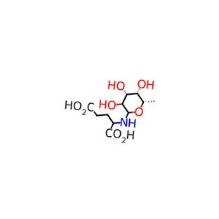 C[C@@H]1OC(NC(CCC(=O)O)C(=O)O)[C@@H](O)[C@H](O)[C@@H]1O